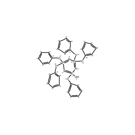 OP1(Oc2ccccc2)=NP(Oc2ccccc2)(Oc2ccccc2)=NP(Oc2ccccc2)(Oc2ccccc2)=N1